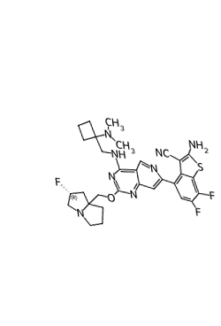 CN(C)C1(CNc2nc(OCC34CCCN3C[C@H](F)C4)nc3cc(-c4cc(F)c(F)c5sc(N)c(C#N)c45)ncc23)CCC1